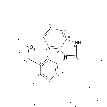 O=[N+]([O-])Sc1ccccc1.c1ncc2[nH]cnc2n1